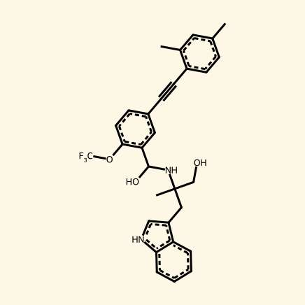 Cc1ccc(C#Cc2ccc(OC(F)(F)F)c(C(O)NC(C)(CO)Cc3c[nH]c4ccccc34)c2)c(C)c1